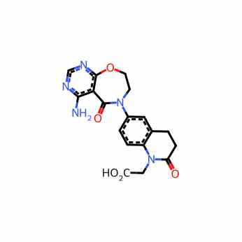 Nc1ncnc2c1C(=O)N(c1ccc3c(c1)CCC(=O)N3CC(=O)O)CCO2